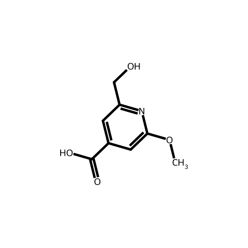 COc1cc(C(=O)O)cc(CO)n1